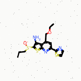 CCC[S+]([O-])c1sc2nc(-c3nccs3)cc(COCC)c2c1N